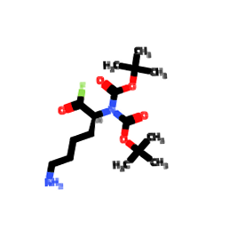 CC(C)(C)OC(=O)N(C(=O)OC(C)(C)C)[C@@H](CCCCN)C(=O)F